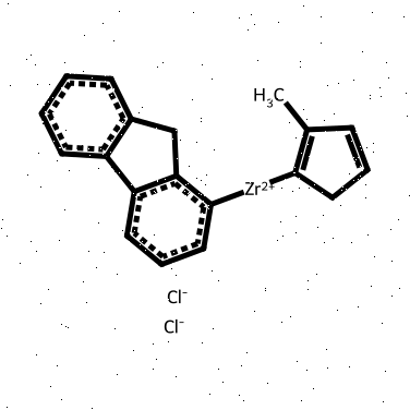 CC1=[C]([Zr+2][c]2cccc3c2Cc2ccccc2-3)CC=C1.[Cl-].[Cl-]